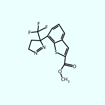 COC(=O)c1cc2cccc(C3(C(F)(F)F)CCN=N3)c2s1